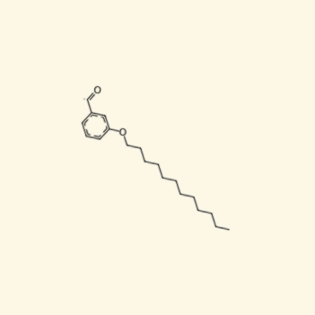 CCCCCCCCCCCCOc1cccc([C]=O)c1